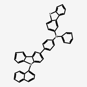 c1ccc(N(c2ccc(-c3ccc4c(c3)c3ccccc3n4-c3cccc4ccccc34)cc2)c2ccc3sc4ccccc4c3c2)cc1